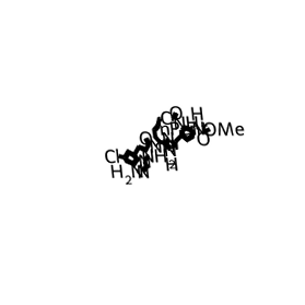 CCCCC/C1=C\C[C@H](NC(=O)/C=C/c2cc(Cl)ccc2N(N)/C=N\N)c2nc(c[nH]2)-c2ccc(NC(=O)OC)cc2NC(=O)CC1